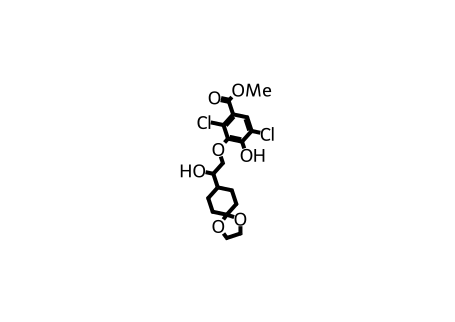 COC(=O)c1cc(Cl)c(O)c(OCC(O)C2CCC3(CC2)OCCO3)c1Cl